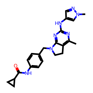 Cc1nc(Nc2cnn(C)c2)nc2c1CCN2Cc1ccc(NC(=O)C2CC2)cc1